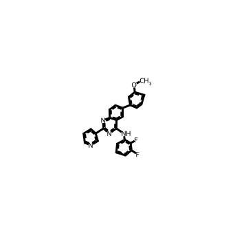 COc1cccc(-c2ccc3nc(-c4cccnc4)nc(Nc4cccc(F)c4F)c3c2)c1